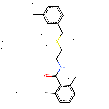 Cc1cccc(CSCCNC(=O)c2c(C)cccc2C)c1